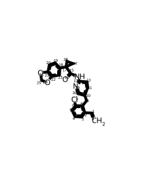 C=Cc1cccc(Cl)c1Cc1ccc(NC(=O)C2(c3ccc4c(c3)OCO4)CC2)nc1